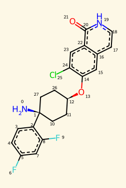 N[C@]1(c2ccc(F)cc2F)CC[C@H](Oc2cc3cc[nH]c(=O)c3cc2Cl)CC1